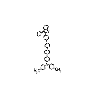 Cc1ccc(N(C2=CCC(C)C=C2)c2ccc(-c3ccc(-c4ccc(-c5ccc(-c6nc7ccccc7n6-c6ccccc6)cc5)cc4)cc3)cc2)cc1